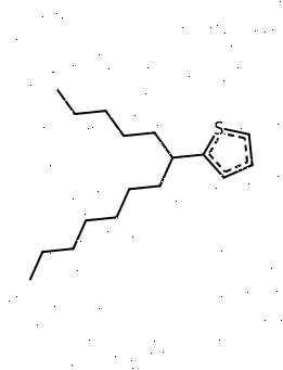 CCCCCCCC(CCCCC)c1cccs1